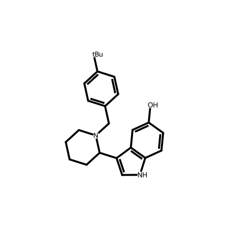 CC(C)(C)c1ccc(CN2CCCCC2c2c[nH]c3ccc(O)cc23)cc1